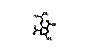 CN(C)/C=C/c1c(C(=O)O)cc(N)cc1[N+](=O)[O-]